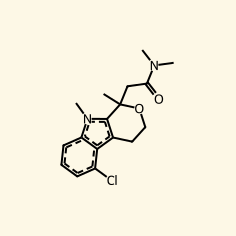 CN(C)C(=O)CC1(C)OCCc2c1n(C)c1cccc(Cl)c21